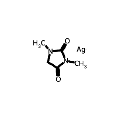 CN1CC(=O)N(C)C1=O.[Ag]